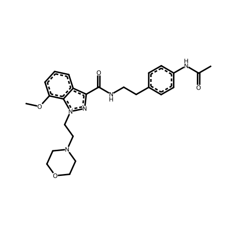 COc1cccc2c(C(=O)NCCc3ccc(NC(C)=O)cc3)nn(CCN3CCOCC3)c12